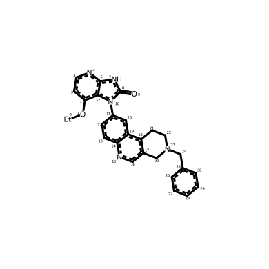 CCOc1ccnc2[nH]c(=O)n(-c3ccc4ncc5c(c4c3)CCN(Cc3ccccc3)C5)c12